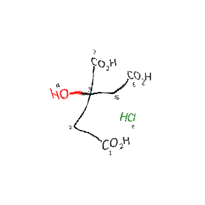 Cl.O=C(O)CC(O)(CC(=O)O)C(=O)O